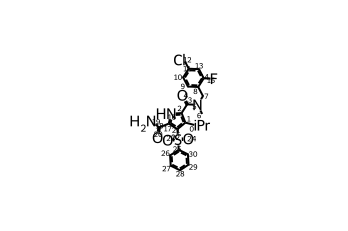 CC(C)c1c(C(=O)N(C)Cc2ccc(Cl)cc2F)[nH]c(C(N)=O)c1S(=O)(=O)c1ccccc1